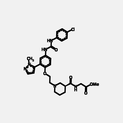 COC(=O)CNC(=O)[C@H]1CCCN(CCOc2ccc(NC(=O)Nc3ccc(Cl)cc3)cc2-c2ccnn2C)C1